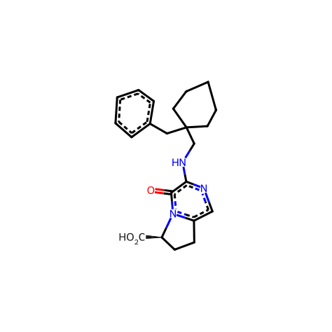 O=C(O)[C@@H]1CCc2cnc(NCC3(Cc4ccccc4)CCCCC3)c(=O)n21